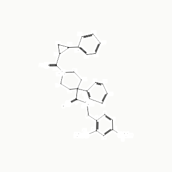 COc1ccc(CNC(=O)C2(c3ccccc3)CCN(C(=O)C3CC3c3ccccc3)CC2)c(OC)c1